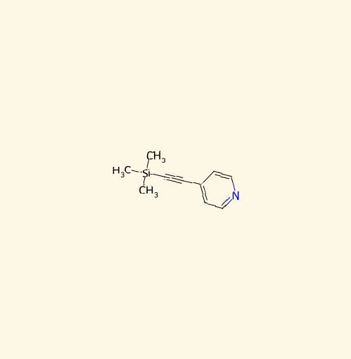 C[Si](C)(C)C#Cc1ccncc1